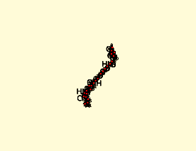 C=CC(=O)N1CCN(c2ccc(CCC(=O)NCCOCCOCCOCCOCCNC(=O)c3cc(Oc4nc5cc(-c6ccc7c(ccn7C)c6)c(Cl)cc5[nH]4)ccc3C)o2)C(=O)C1